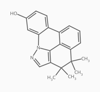 CC1(C)c2cccc3c4ccc(O)cc4n4ncc(c4c23)C1(C)C